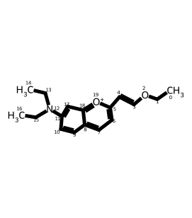 CCOC=Cc1ccc2ccc(N(CC)CC)cc2[o+]1